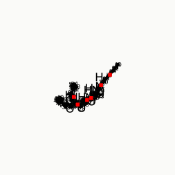 CCCCCCCCCCCCCNC(=O)N[C@H]1CN(C(=O)Nc2ccc(C(=O)N3C[C@@H](C(=O)N[C@H]4C[C@@H]4c4ccccc4)[C@H](C(=O)N[C@H]4C[C@@H]4c4ccccc4)C3)cc2)C[C@@H]1OC